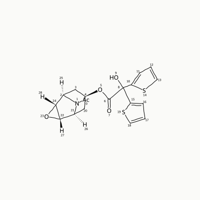 CC(=O)N1[C@@H]2C[C@@H](OC(=O)C(O)(c3cccs3)c3cccs3)C[C@H]1[C@@H]1O[C@@H]12